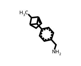 CC1C2=CCC1C2c1ccc(CN)cc1